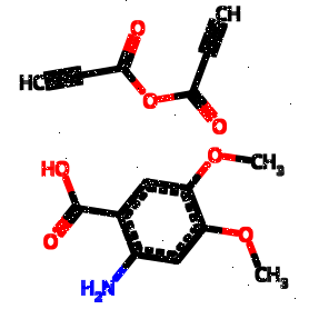 C#CC(=O)OC(=O)C#C.COc1cc(N)c(C(=O)O)cc1OC